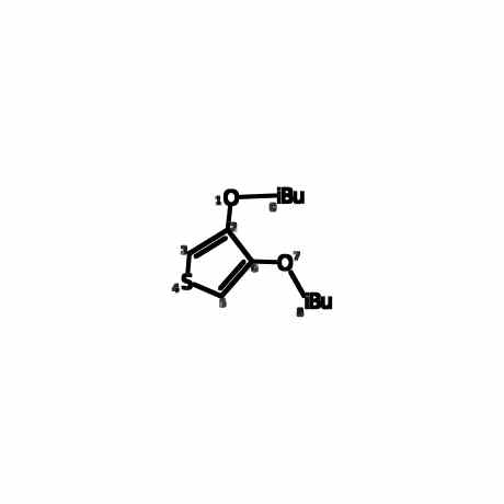 CCC(C)Oc1cscc1OC(C)CC